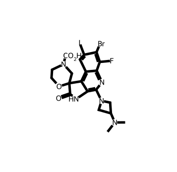 CN(C)C1CN(c2nc3c(F)c(Br)c(I)cc3c3c2NC(=O)C32CN(C(=O)O)CCO2)C1